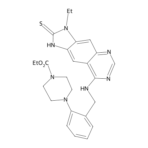 CCOC(=O)N1CCN(c2ccccc2CNc2ncnc3cc4c(cc23)[nH]c(=S)n4CC)CC1